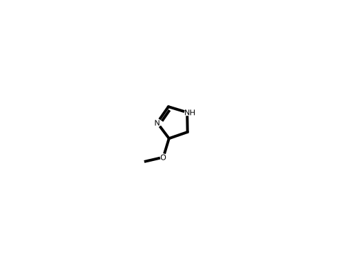 COC1CNC=N1